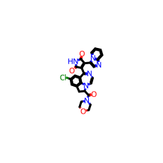 O=C1NC(=O)C(c2cnc3ccccn23)=C1C1=NC=CN2c3c(cc(Cl)cc31)CC2C(=O)N1CCOCC1